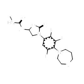 CNC(=O)OC1CN(c2cc(F)c(N3CCCOCC3)c(F)c2F)C(=O)O1